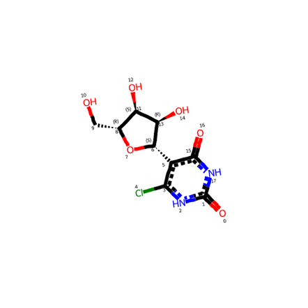 O=c1[nH]c(Cl)c([C@@H]2O[C@H](CO)[C@@H](O)[C@H]2O)c(=O)[nH]1